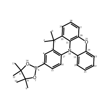 CC1(C)c2cc(B3OC(C)(C)C(C)(C)O3)ccc2N2c3ccccc3Oc3cccc1c32